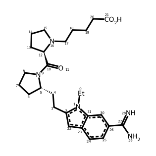 CCn1c(CC[C@@H]2CCCN2C(=O)[C@H]2CCCN2CCCCC(=O)O)cc2ccc(C(=N)N)cc21